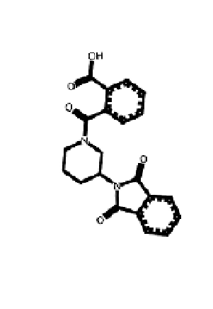 O=C(O)c1ccccc1C(=O)N1CCCC(N2C(=O)c3ccccc3C2=O)C1